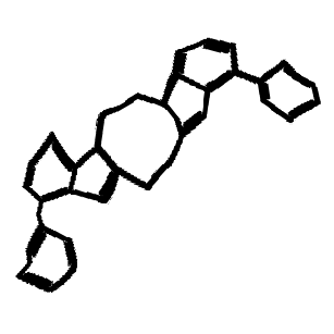 C1=C2CCC3=Cc4c(-c5ccccc5)cccc4C3CCC2c2cccc(-c3ccccc3)c21